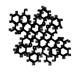 CCCCc1c2c3c(c(CCCC)c(Oc4ccccc4C)c4c5c(Oc6ccccc6C)c(CCCC)c6c7c(c(CCCC)c(Oc8ccccc8C)c(c(c1Oc1ccccc1C)c34)c75)C(=O)N(c1c(C(C)C)cccc1C(C)C)C6=O)C(=O)N(c1c(C(C)C)cccc1C(C)C)C2=O